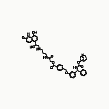 O=C(COC(=O)c1ccc(COc2cccc(C(NC(=O)OC3CN4CCC3CC4)c3ccccc3)c2)cc1)NCCCNCC(O)c1ccc(O)c2[nH]c(=O)ccc12